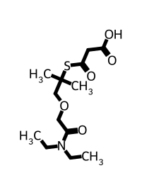 CCN(CC)C(=O)COCC(C)(C)SC(=O)CC(=O)O